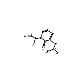 CCCCCC(CC)n1cccc(OC(F)F)c1=O